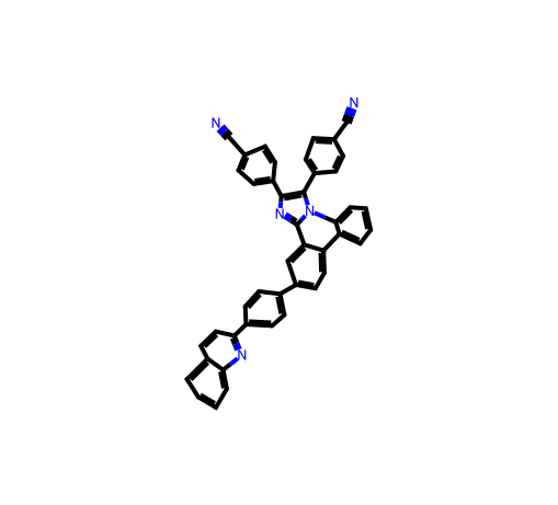 N#Cc1ccc(-c2nc3c4cc(-c5ccc(-c6ccc7ccccc7n6)cc5)ccc4c4ccccc4n3c2-c2ccc(C#N)cc2)cc1